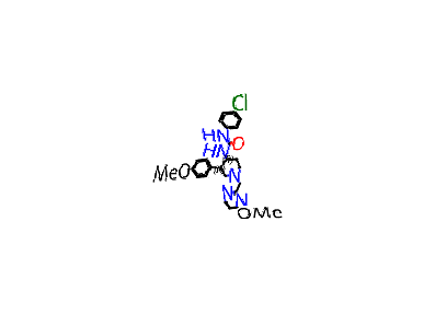 COc1ccc([C@@H]2CN(Cc3nccc(OC)n3)CC[C@H]2NC(=O)Nc2ccc(Cl)cc2)cc1